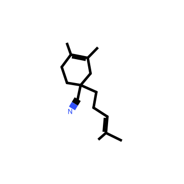 CC(C)=CCCC1(C#N)CCC(C)=C(C)C1